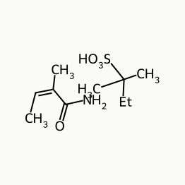 CC=C(C)C(N)=O.CCC(C)(C)S(=O)(=O)O